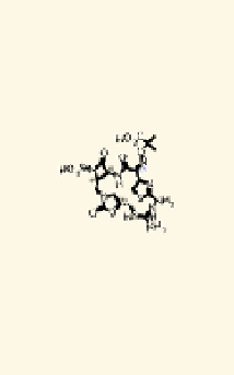 CC(C)(O/N=C(\C(=O)N[C@@H]1C(=O)N(S(=O)(=O)O)[C@@H]1CN1C[C@H](CNC(=N)N)OC1=O)C1CSC(N)=N1)C(=O)O